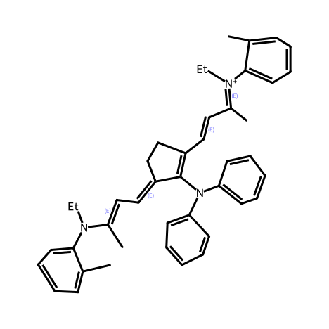 CCN(/C(C)=C/C=C1\CCC(/C=C/C(C)=[N+](\CC)c2ccccc2C)=C1N(c1ccccc1)c1ccccc1)c1ccccc1C